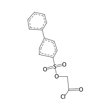 O=C(Cl)COS(=O)(=O)c1ccc(-c2ccccc2)cc1